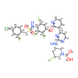 O=C(O)N1C[C@@H](F)C[C@H](Nc2nccc(-c3cccnc3Oc3cc(F)c(NS(=O)(=O)Cc4ccc(Cl)cc4F)c(F)c3F)n2)C1